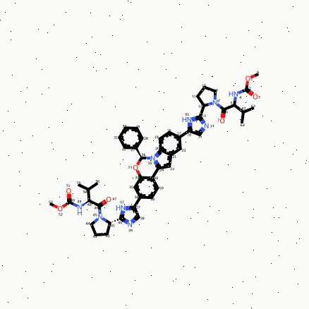 COC(=O)NC(C(=O)N1CCCC1c1ncc(-c2ccc3c(c2)cc2n3[C@H](c3ccccc3)Oc3cc(-c4cnc([C@@H]5CCCN5C(=O)[C@@H](NC(=O)OC)C(C)C)[nH]4)ccc3-2)[nH]1)C(C)C